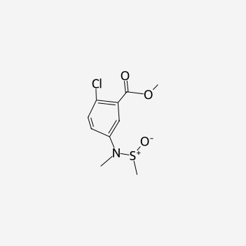 COC(=O)c1cc(N(C)[S+](C)[O-])ccc1Cl